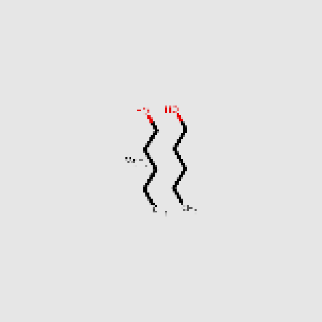 CCCCCO.CCCCCO.[MgH2]